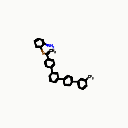 C=C(Sc1ccccc1N)c1ccc(-c2cccc(-c3ccc(-c4cccc(C(F)(F)F)c4)cc3)c2)cc1